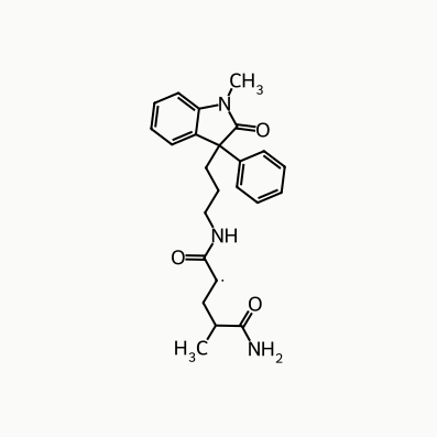 CC(C[CH]C(=O)NCCCC1(c2ccccc2)C(=O)N(C)c2ccccc21)C(N)=O